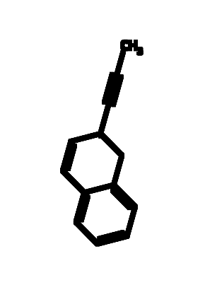 CC#C[C]1C=Cc2ccccc2C1